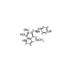 COCc1c2c(c(O)c(C=O)c1CNCc1ccc(F)cc1)NCC=C2